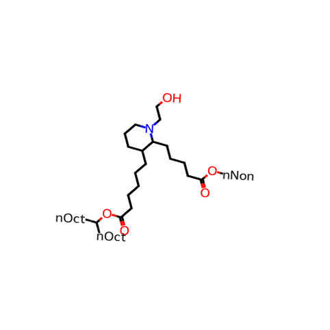 CCCCCCCCCOC(=O)CCCCC1C(CCCCCC(=O)OC(CCCCCCCC)CCCCCCCC)CCCN1CCO